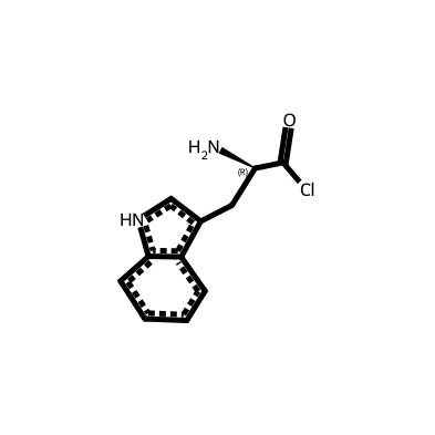 N[C@H](Cc1c[nH]c2ccccc12)C(=O)Cl